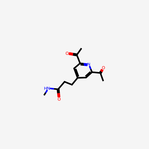 CNC(=O)CCc1cc(C(C)=O)nc(C(C)=O)c1